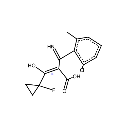 Cc1cccc(Cl)c1C(=N)/C(C(=O)O)=C(\O)C1(F)CC1